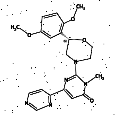 COc1ccc(OC)c([C@H]2CN(c3nc(-c4ccncn4)cc(=O)n3C)CCO2)c1